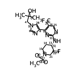 CC(C)(O)Cn1cnc(-c2nc(N[C@H]3CCN(S(C)(=O)=O)C[C@H]3F)ncc2C(F)(F)F)c1